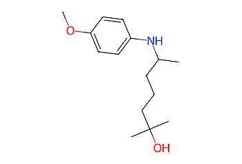 COc1ccc(NC(C)CCCC(C)(C)O)cc1